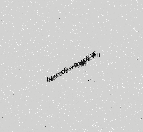 CC(C)(C)OC(=O)NCCOCCOCCOCCOCCOCCNC(=O)CCOCCOCCOCCOCCOC/C(=C/NCCOCCNC(=O)CCCC[C@@H]1SCC2NC(=O)N[C@H]21)NN